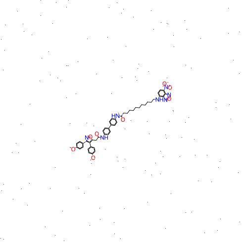 COc1ccc(-c2noc(CC(=O)Nc3ccc(-c4ccc(NC(=O)CCCCCCCCCCCNc5ccc([N+](=O)[O-])c6nonc56)cc4)cc3)c2-c2ccc(OC)cc2)cc1